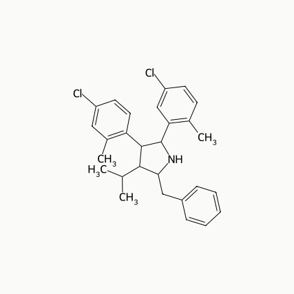 Cc1ccc(Cl)cc1C1NC(Cc2ccccc2)C(C(C)C)C1c1ccc(Cl)cc1C